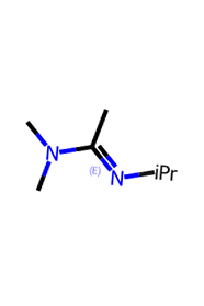 C/C(=N\C(C)C)N(C)C